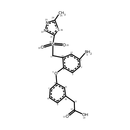 Bc1ccc(Oc2cccc(CC(=O)O)c2)c(CS(=O)(=O)c2nnc(C)s2)c1